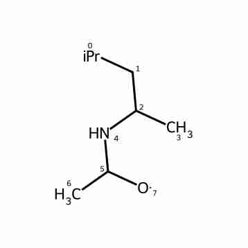 CC(C)CC(C)NC(C)[O]